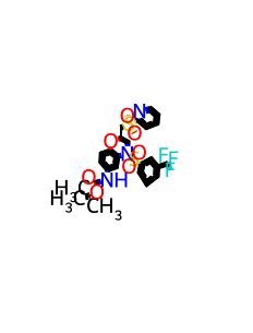 CC(C)(C)OC(=O)Nc1ccc2c(c1)N(S(=O)(=O)c1cccc(C(F)(F)F)c1)C[C@H](CS(=O)(=O)c1ccccn1)O2